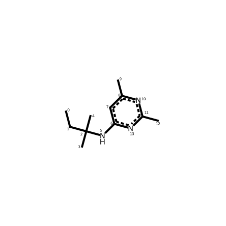 CCC(C)(C)Nc1cc(C)nc(C)n1